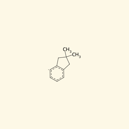 CC1(C)Cc2[c]cccc2C1